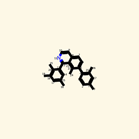 Cc1ccc(-c2ccc3ccnc(-c4cc(C)cc(C)c4C)c3c2C)c(C)c1